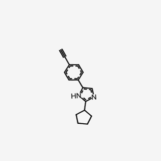 C#Cc1ccc(-c2cnc(C3CCCC3)[nH]2)cc1